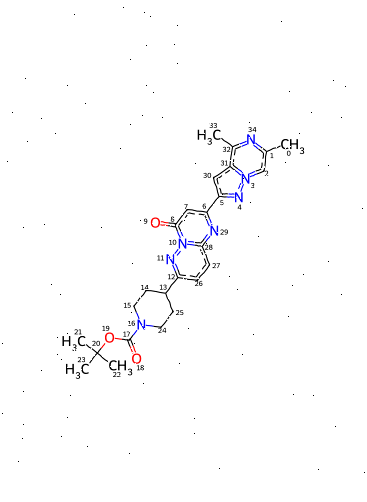 Cc1cn2nc(-c3cc(=O)n4nc(C5CCN(C(=O)OC(C)(C)C)CC5)ccc4n3)cc2c(C)n1